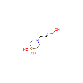 OC/C=C/CN1CCS(O)(O)CC1